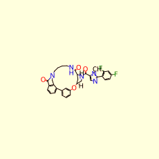 Cn1c(C(=O)N2C[C@@H]3C[C@H]2C(=O)NCCCCN2Cc4c(cccc4-c4cccc(c4)O3)C2=O)cnc1-c1ccc(F)cc1F